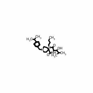 CCCCN1C(=O)C(C(O)C(C)C)NC(=O)C12CCN(Cc1ccc(C(C)C)cc1)CC2